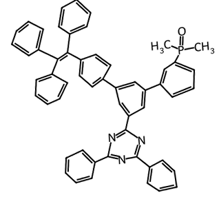 CP(C)(=O)c1cccc(-c2cc(-c3ccc(C(=C(c4ccccc4)c4ccccc4)c4ccccc4)cc3)cc(-c3nc(-c4ccccc4)nc(-c4ccccc4)n3)c2)c1